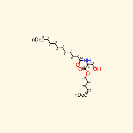 CCCCCCCCCCCCCCCCCCCC(=O)N[C@@H](CO)C(=O)OCCCCCCCCCCCCCC